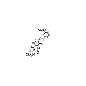 COc1cccc(COc2ccc3c(C)c(C(C)C(=O)O)c(=O)oc3c2C)c1